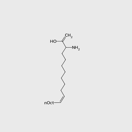 C=C(O)C(N)CCCCCCC/C=C\CCCCCCCC